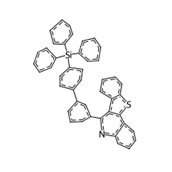 c1ccc([Si](c2ccccc2)(c2ccccc2)c2ccc(-c3cccc(-c4nc5ccccc5c5sc6ccccc6c45)c3)cc2)cc1